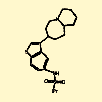 CC(C)S(=O)(=O)Nc1ccc2scc(C3CCC4CCCCN4CC3)c2c1